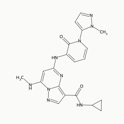 CNc1cc(Nc2cccn(-c3ccnn3C)c2=O)nc2c(C(=O)NC3CC3)cnn12